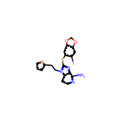 Nc1nccc2c1nc(Sc1cc3c(cc1I)OCO3)n2CCc1cccs1